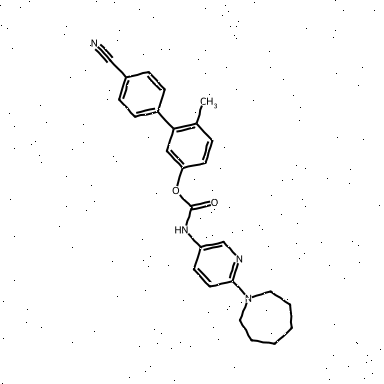 Cc1ccc(OC(=O)Nc2ccc(N3CCCCCC3)nc2)cc1-c1ccc(C#N)cc1